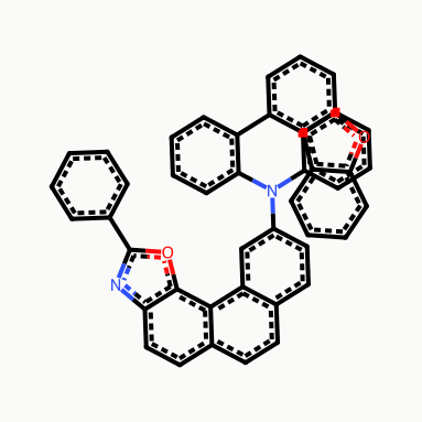 c1ccc(-c2nc3ccc4ccc5ccc(N(c6ccccc6)c6ccccc6-c6cccc7oc8ccccc8c67)cc5c4c3o2)cc1